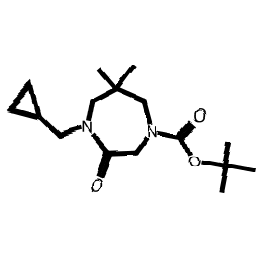 CC1(C)CN(CC2CC2)C(=O)CN(C(=O)OC(C)(C)C)C1